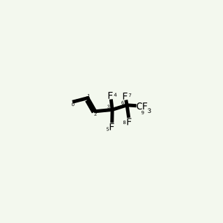 CC=CC(F)(F)C(F)(F)C(F)(F)F